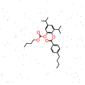 CCCCOC(=O)Oc1cc(C(C)C)cc(C(C)C)c1OC(=O)c1ccc(CCCC)cc1